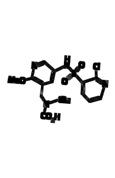 COc1ncc(NS(=O)(=O)c2cccnc2Cl)cc1CN(C(=O)O)C(C)(C)C